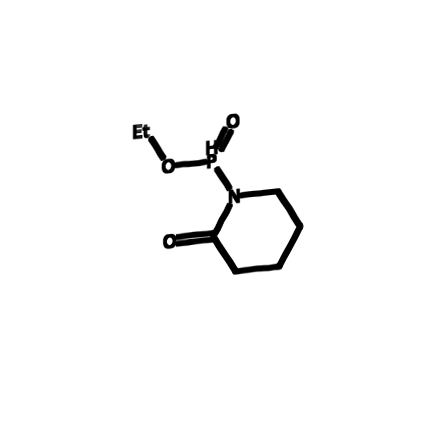 CCO[PH](=O)N1CCCCC1=O